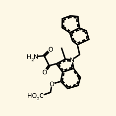 Cc1c(C(=O)C(N)=O)c2c(OCC(=O)O)cccc2n1Cc1ccc2ccccc2c1